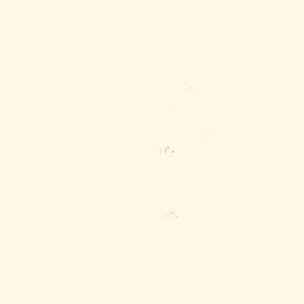 Cc1ccccc1C1NCCCC1NC(=O)OC(C)(C)C